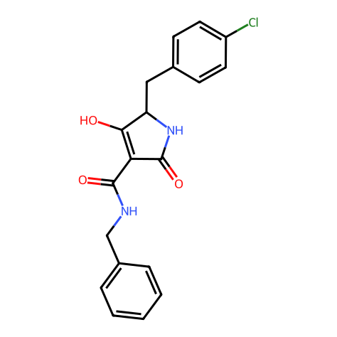 O=C(NCc1ccccc1)C1=C(O)C(Cc2ccc(Cl)cc2)NC1=O